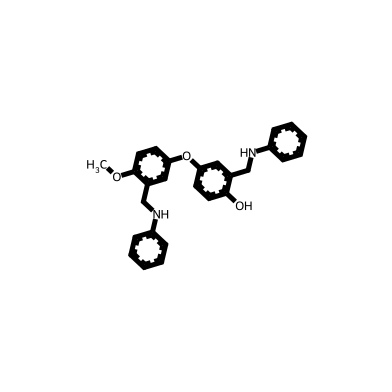 COc1ccc(Oc2ccc(O)c(CNc3ccccc3)c2)cc1CNc1ccccc1